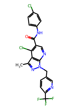 Cc1nn(Cc2ccc(C(F)(F)F)nc2)c2ncc(C(=O)Nc3ccc(Cl)cc3)c(Cl)c12